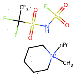 CCC[N+]1(C)CCCCC1.O=S(=O)(F)NS(=O)(=O)C(F)(F)C(F)(F)F